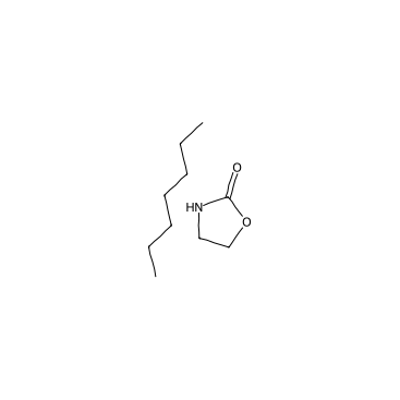 CCCCCCC.O=C1NCCO1